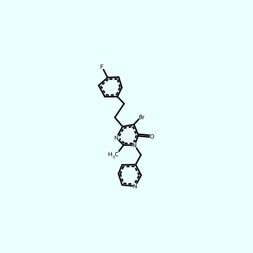 Cc1nc(CCc2ccc(F)cc2)c(Br)c(=O)n1Cc1cccnc1